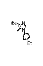 C=C1N(c2ccc(CC)cc2)C=NN1C(C)CC